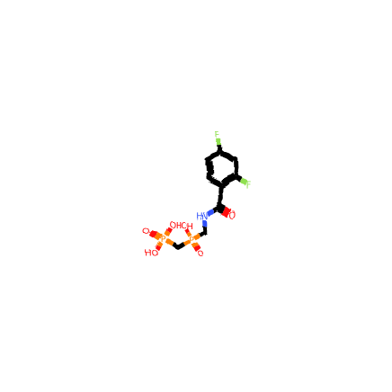 O=C(NCP(=O)(O)CP(=O)(O)O)c1ccc(F)cc1F